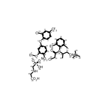 CCOc1cc(Oc2ccc(C(F)(F)F)cc2Cl)ccc1[N+](=O)[O-].CCc1cccc(C)c1N(C(=O)CCl)C(C)COC.C[S+](C)C.O=C(O)CNCP(=O)([O-])O